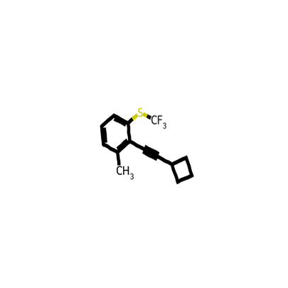 Cc1cccc(SC(F)(F)F)c1C#CC1CCC1